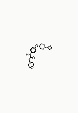 O=C(CN1CCOCC1)Nc1ccc(OC2CCN(C3CCC3)CC2)cc1